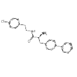 N[C@@H](Cc1ccc(-c2ccccc2)cc1)C(=O)NCCc1ccc(Cl)cc1